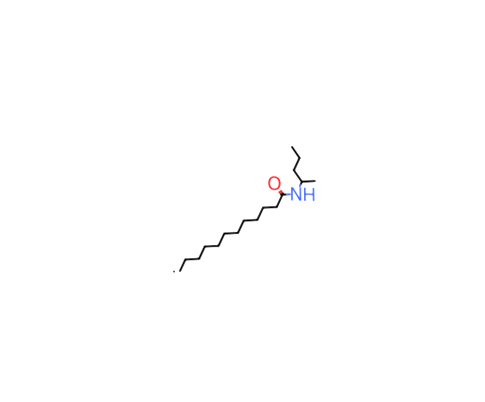 [CH2]CCCCCCCCCCC(=O)NC(C)CCC